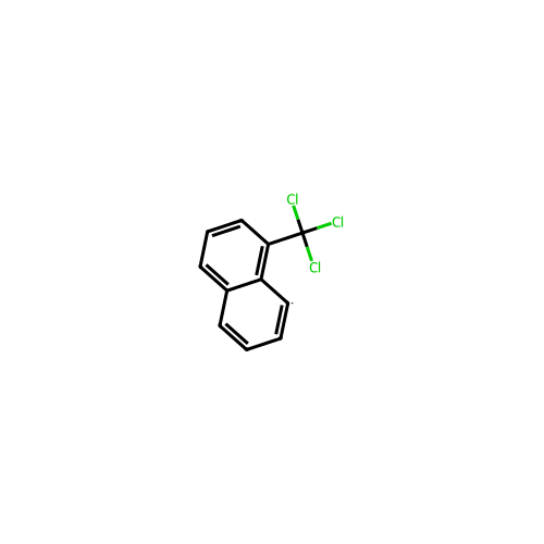 ClC(Cl)(Cl)c1cccc2ccc[c]c12